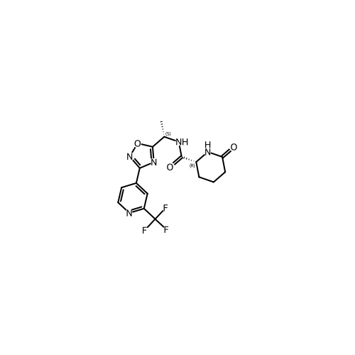 C[C@H](NC(=O)[C@H]1CCCC(=O)N1)c1nc(-c2ccnc(C(F)(F)F)c2)no1